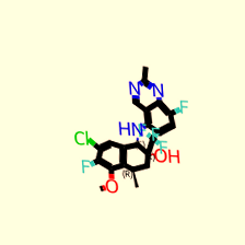 COc1c(F)c(Cl)cc2c1[C@H](C)C[C@](O)(C(F)(F)F)[C@H]2Nc1ccc(F)c2nc(C)ncc12